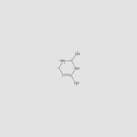 OC1=CCNC(O)N1